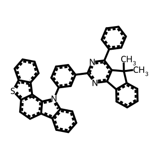 CC1(C)c2ccccc2-c2nc(-c3cccc(-n4c5ccccc5c5ccc6sc7ccccc7c6c54)c3)nc(-c3ccccc3)c21